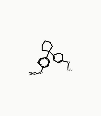 CC(C)(C)OC1=CC=C(C2(c3ccc(OC=O)cc3)CCCCC2)CC1